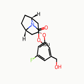 CC(C)(C)OC(=O)N1[C@@H]2CC[C@H]1C[C@@H](Oc1cc(F)cc(CO)c1)C2